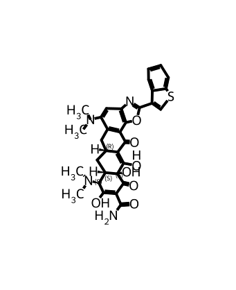 CN(C)c1cc2nc(-c3csc4ccccc34)oc2c2c1C[C@H]1C[C@H]3[C@H](N(C)C)C(O)=C(C(N)=O)C(=O)[C@@]3(O)C(O)=C1C2=O